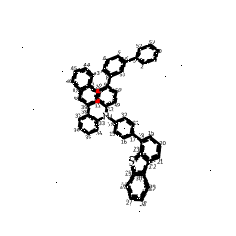 c1ccc(-c2cccc(-c3ccc(N(c4ccc(-c5cccc6c5sc5ccccc56)cc4)c4ccccc4-c4ccc5ccccc5c4)cc3)c2)cc1